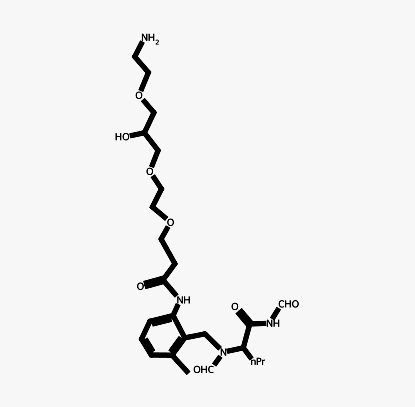 CCCC(C(=O)NC=O)N(C=O)Cc1c(C)cccc1NC(=O)CCOCCOCC(O)COCCN